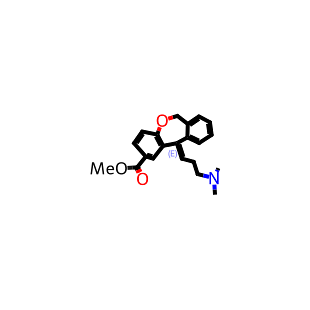 COC(=O)c1ccc2c(c1)/C(=C/CCN(C)C)c1ccccc1CO2